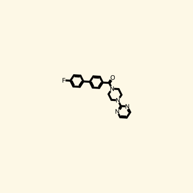 O=C(c1ccc(-c2ccc(F)cc2)cc1)N1CCN(c2ncccn2)CC1